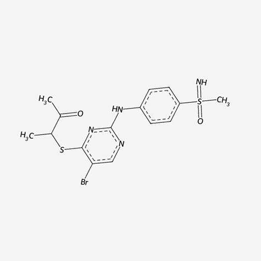 CC(=O)C(C)Sc1nc(Nc2ccc(S(C)(=N)=O)cc2)ncc1Br